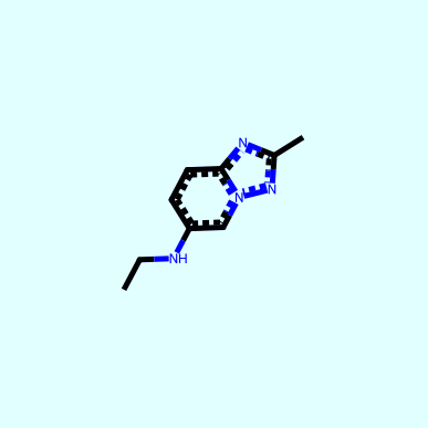 CCNc1ccc2nc(C)nn2c1